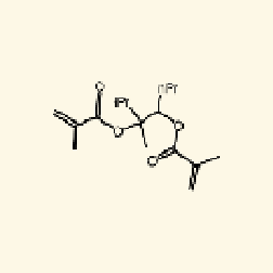 [CH2]CCC(OC(=O)C(=C)C)C(C)(OC(=O)C(=C)C)[C](C)C